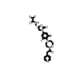 O=C(NC[C@H]1CN(c2cc(F)c(N3CCON(C(=O)Cc4ccncc4)CC3)c(F)c2)C(=O)O1)C(F)F